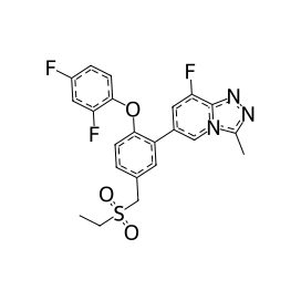 CCS(=O)(=O)Cc1ccc(Oc2ccc(F)cc2F)c(-c2cc(F)c3nnc(C)n3c2)c1